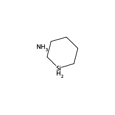 C1CC[SiH2]CC1.N